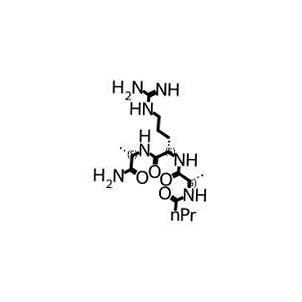 CCCC(=O)N[C@@H](C)C(=O)N[C@@H](CCCNC(=N)N)C(=O)N[C@@H](C)C(N)=O